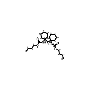 CCCCOC(=O)NC1(CC2(NC(=O)OCCCC)CCCCC2)CCCCC1